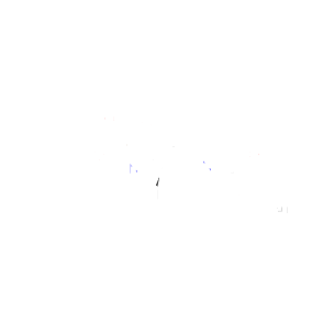 CC(C)(C)OC(=O)N1C[C@@H]2OS(=O)(=O)N(Cc3ccccc3)[C@H]2C1